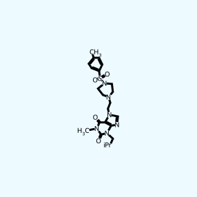 Cc1ccc(S(=O)(=O)N2CCN(CCn3cnc4c3c(=O)n(C)c(=O)n4CC(C)C)CC2)cc1